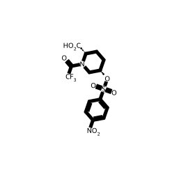 O=C(O)[C@@H]1CC[C@H](OS(=O)(=O)c2ccc([N+](=O)[O-])cc2)CN1C(=O)C(F)(F)F